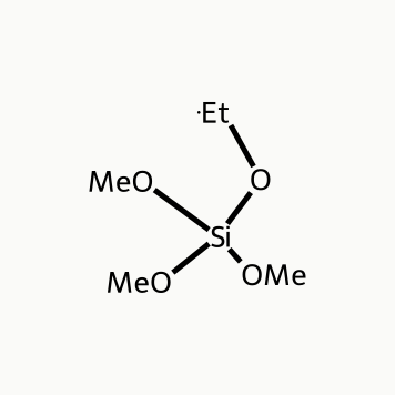 C[CH]O[Si](OC)(OC)OC